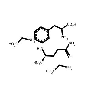 NC(=O)CC[C@H](N)C(=O)O.NCC(=O)O.NCC(=O)O.N[C@@H](Cc1ccccc1)C(=O)O